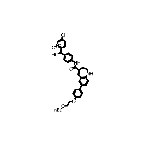 CCCCOCCOc1ccc(-c2ccc3c(c2)C=C(C(=O)Nc2ccc(C(O)c4ccc(Cl)c[n+]4[O-])cc2)CCN3)cc1